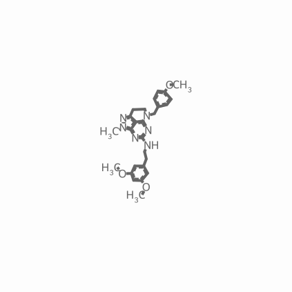 COc1ccc(CN2CCc3nn(C)c4nc(NCCc5cc(OC)cc(OC)c5)nc2c34)cc1